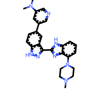 CN1CCN(c2cccc3[nH]c(-c4n[nH]c5ccc(-c6cncc(N(C)C)c6)cc45)nc23)CC1